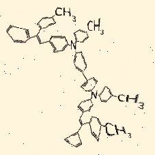 Cc1ccc(/C(=C\c2ccc(N(c3ccc(C)cc3)c3ccc(-c4ccc(N(c5ccc(C)cc5)c5ccc(/C=C(/c6ccccc6)c6ccc(C)cc6)cc5)cc4)cc3)cc2)c2ccccc2)cc1